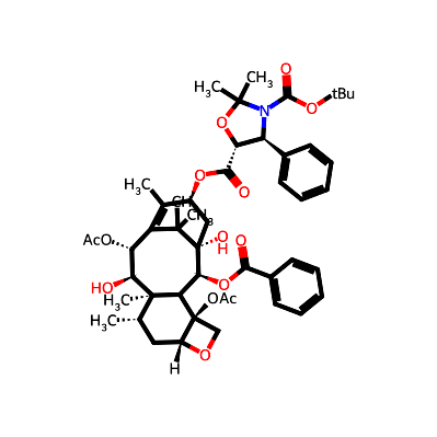 CC(=O)O[C@@H]1C2=C(C)[C@@H](OC(=O)[C@@H]3OC(C)(C)N(C(=O)OC(C)(C)C)[C@H]3c3ccccc3)C[C@@](O)([C@@H](OC(=O)c3ccccc3)C3[C@@](C)([C@@H](C)C[C@H]4OC[C@@]34OC(C)=O)[C@H]1O)C2(C)C